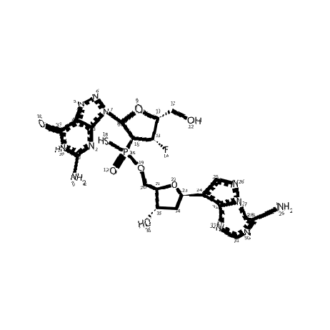 Nc1nc2c(nnn2C2O[C@H](CO)[C@H](F)[C@H]2P(=O)(S)OCC2O[C@@H](c3cnn4c(N)ncnc34)C[C@@H]2O)c(=O)[nH]1